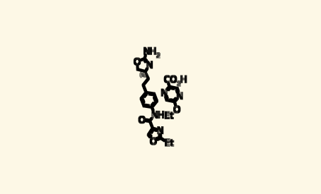 CCOc1cnc(C(=O)O)cn1.CCc1nc(C(=O)Nc2ccc(CC[C@H]3COC(N)=N3)cc2)co1